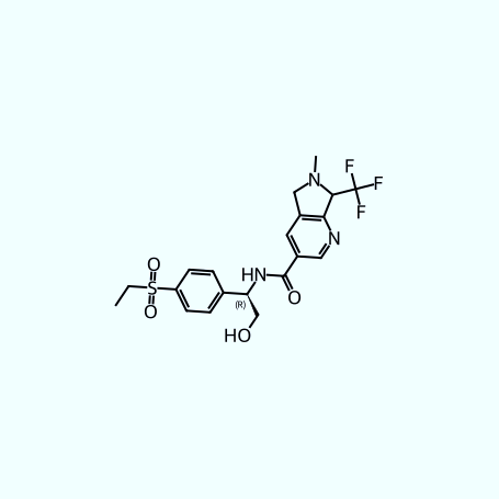 CCS(=O)(=O)c1ccc([C@H](CO)NC(=O)c2cnc3c(c2)CN(C)C3C(F)(F)F)cc1